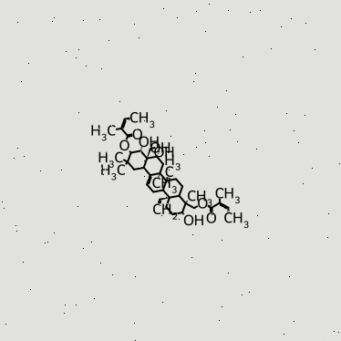 C=C[C@]12CC[C@H](O)[C@](C)(COC(=O)/C(C)=C\C)C1CC[C@]1(C)C2CC=C2C3CC(C)(C)[C@@H](OC(=O)/C(C)=C\C)[C@H](O)[C@]3(CO)[C@H](O)C[C@]21C